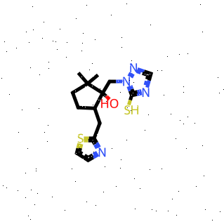 CC1(C)CCC(Cc2nccs2)C1(O)Cn1ncnc1S